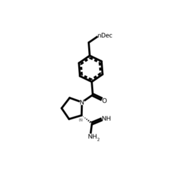 CCCCCCCCCCCc1ccc(C(=O)N2CCC[C@H]2C(=N)N)cc1